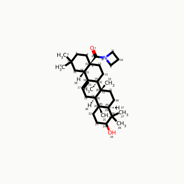 CC1(C)CC[C@]2(C(=O)N3CCC3)CC[C@]3(C)C(=CC[C@@H]4[C@@]5(C)CCC(O)C(C)(C)[C@@H]5CC[C@]43C)[C@@H]2C1